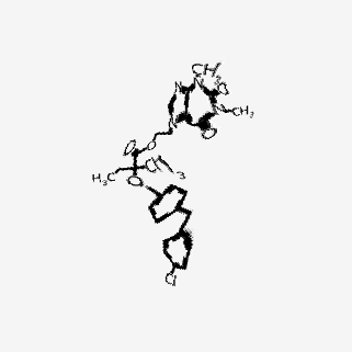 CCC(C)(Oc1ccc(Cc2ccc(Cl)cc2)cc1)C(=O)OCCn1cnc2c1c(=O)n(C)c(=O)n2C